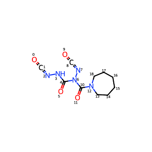 O=C=NNC(=O)N(N=C=O)C(=O)N1CCCCCC1